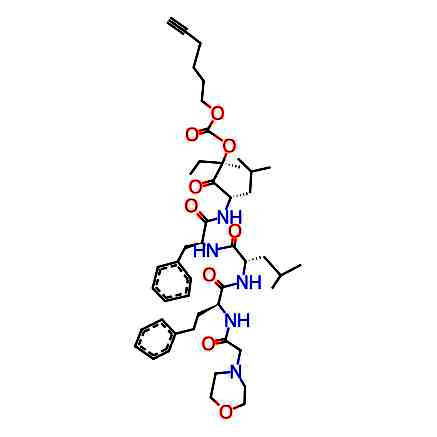 C#CCCCCOC(=O)O[C@](C)(CC)C(=O)[C@H](CC(C)C)NC(=O)[C@H](Cc1ccccc1)NC(=O)[C@H](CC(C)C)NC(=O)[C@H](CCc1ccccc1)NC(=O)CN1CCOCC1